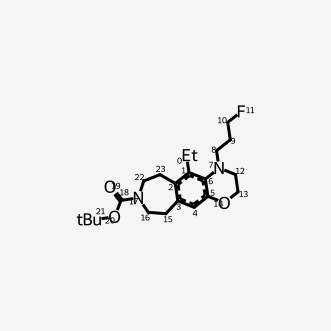 CCc1c2c(cc3c1N(CCCF)CCO3)CCN(C(=O)OC(C)(C)C)CC2